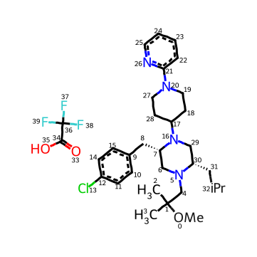 COC(C)(C)CN1C[C@H](Cc2ccc(Cl)cc2)N(C2CCN(c3ccccn3)CC2)C[C@@H]1CC(C)C.O=C(O)C(F)(F)F